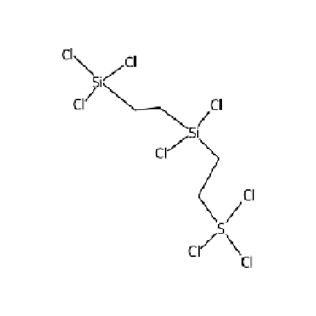 Cl[Si](Cl)(Cl)CC[Si](Cl)(Cl)CCS(Cl)(Cl)Cl